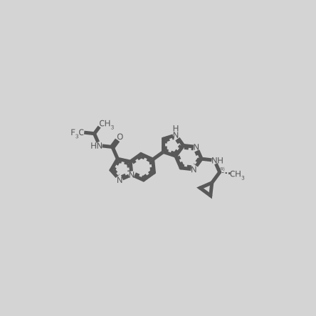 CC(NC(=O)c1cnn2ccc(-c3c[nH]c4nc(N[C@H](C)C5CC5)ncc34)cc12)C(F)(F)F